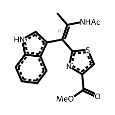 COC(=O)c1csc(/C(=C(/C)NC(C)=O)c2c[nH]c3ccccc23)n1